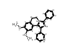 COc1cc2c(cc1OC)-c1c(-c3cccnc3)nc(-c3ccccc3)n1CC2